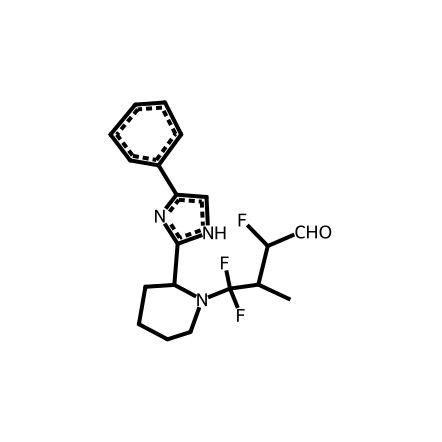 CC(C(F)C=O)C(F)(F)N1CCCCC1c1nc(-c2ccccc2)c[nH]1